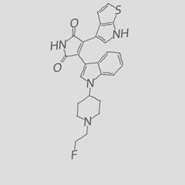 O=C1NC(=O)C(c2cn(C3CCN(CCF)CC3)c3ccccc23)=C1c1c[nH]c2sccc12